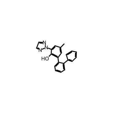 Cc1cc(-c2ccccc2-c2ccccc2)c(O)c(-n2nccn2)c1